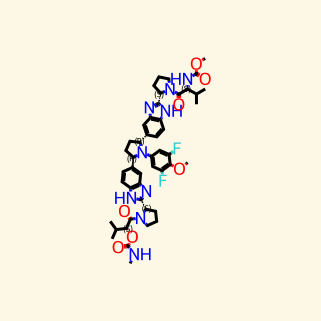 CNC(=O)O[C@H](C(=O)N1CCC[C@H]1c1nc2cc([C@H]3CC[C@H](c4ccc5[nH]c([C@@H]6CCCN6C(=O)[C@@H](NC(=O)OC)C(C)C)nc5c4)N3c3cc(F)c(OC)c(F)c3)ccc2[nH]1)C(C)C